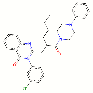 CCCCC(Cc1nc2ccccc2c(=O)n1-c1cccc(Cl)c1)C(=O)N1CCN(c2ccccc2)CC1